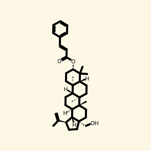 C=C(C)[C@@H]1CC[C@]2(CO)CC[C@]3(C)[C@H](CC[C@@H]4[C@@]5(C)CC[C@H](OC(=O)/C=C/c6ccccc6)C(C)(C)[C@@H]5CC[C@]43C)[C@@H]12